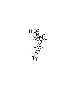 CS(=O)(=O)N1CCC2(CC1)C(=O)Nc1cc(C(=O)Nc3ccc(OC(F)(F)Cl)cc3)cc(-c3ccn[nH]3)c12